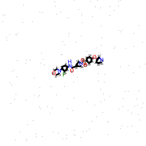 O=C(Nc1ccc(N2CCOCC2)c(F)c1)C1C2CN(S(=O)(=O)c3ccc(Oc4cccnc4)cc3)CC21